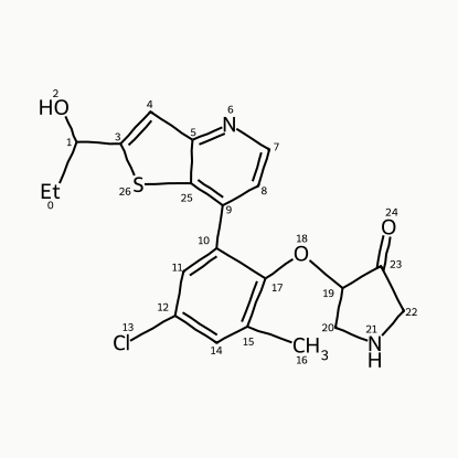 CCC(O)c1cc2nccc(-c3cc(Cl)cc(C)c3OC3CNCC3=O)c2s1